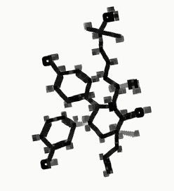 C=CC[C@@]1(C)C[C@H](c2cccc(Cl)c2)C(c2ccc(Cl)cc2)N([C@@H](CC)CCCC(C)(C)O)C1=O